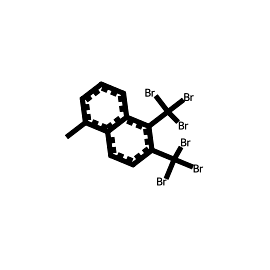 Cc1cccc2c(C(Br)(Br)Br)c(C(Br)(Br)Br)ccc12